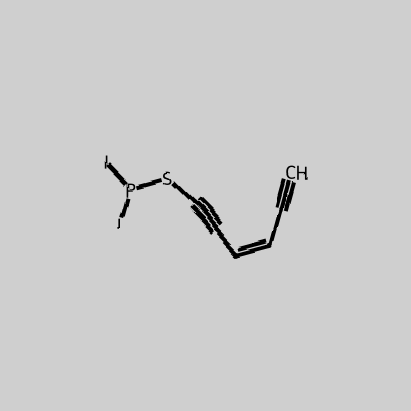 C#C/C=C\C#CSP(I)I